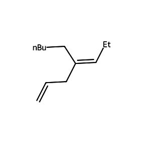 C=CCC(=CCC)CCCCC